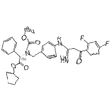 CC(C)(C)OC(=O)N(Cc1ccc(NC(=N)CC(=O)c2ccc(F)cc2F)cc1)[C@H](C(=O)OC1CCCC1)c1ccccc1